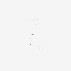 O=C1O[C@]2(CC[C@](O)(C(=O)Nc3cn(-c4cc(F)cc(F)c4)cn3)CC2)c2c1ccc[n+]2[O-]